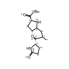 CC(CC1CC[C@@H](C(=O)C(C)(C)C)N1)C(=O)[C@@H]1CCC(=O)N1